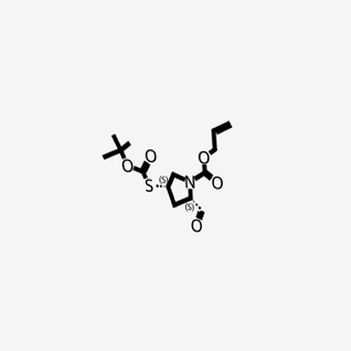 C=CCOC(=O)N1C[C@@H](SC(=O)OC(C)(C)C)C[C@H]1C=O